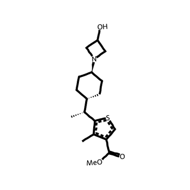 COC(=O)c1csc([C@H](C)[C@H]2CC[C@H](N3CC(O)C3)CC2)c1C